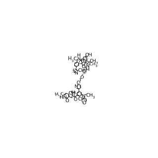 CCN(c1cc(-c2ccc(OCCOCCOCC(=O)NC(C(=O)N3C[C@H](O)C[C@H]3C(=O)NC(C)c3ccc(-c4scnc4C)cc3)C(C)(C)C)nc2)cc(C(=O)NCc2c(C)cc(C)[nH]c2=O)c1C)C1CCOCC1